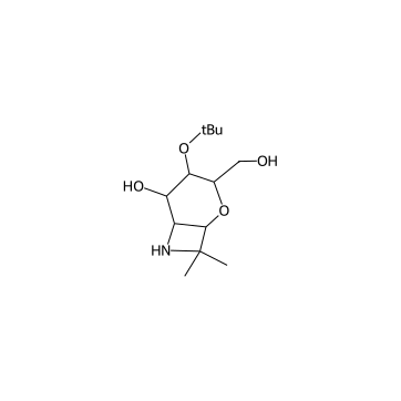 CC(C)(C)OC1C(CO)OC2C(NC2(C)C)C1O